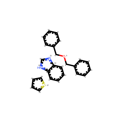 c1ccc(COCc2ccccc2)cc1.c1ccc2[nH]cnc2c1.c1ccsc1